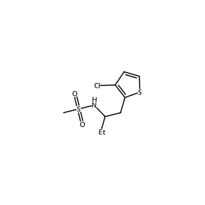 CCC(Cc1sccc1Cl)NS(C)(=O)=O